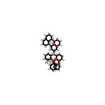 CC1(C)c2ccccc2-c2cccc(N(c3cccc(-c4cccc5cccc(-c6ccccc6)c45)c3)c3ccccc3-c3cccc4ccccc34)c21